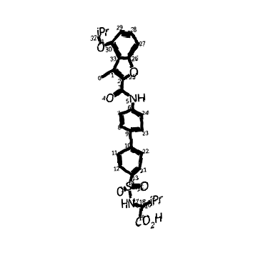 Cc1c(C(=O)Nc2ccc(-c3ccc(S(=O)(=O)NC(C(=O)O)C(C)C)cc3)cc2)oc2cccc(OC(C)C)c12